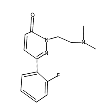 CN(C)CCn1nc(-c2ccccc2F)ccc1=O